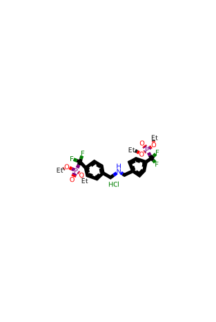 CCOP(=O)(OCC)C(F)(F)c1ccc(CNCc2ccc(C(F)(F)P(=O)(OCC)OCC)cc2)cc1.Cl